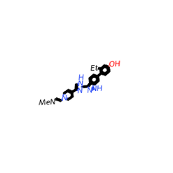 CCc1cc(O)ccc1-c1ccc2c(-c3nc(C4=CCN(CCNC)CC4)c[nH]3)n[nH]c2c1